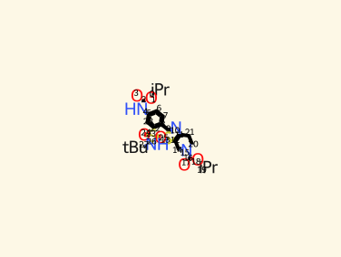 CC(C)OC(=O)Nc1ccc(-c2nc3c(s2)CN(C(=O)OC(C)C)CC3)c(S(=O)(=O)NC(C)(C)C)c1